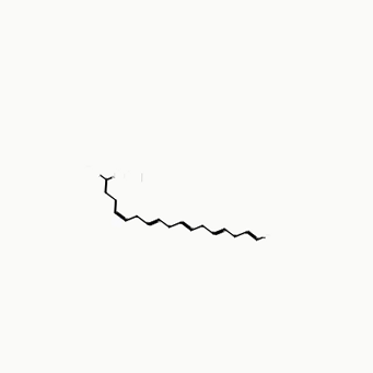 CCC=CCC=CCC=CCC=CC/C=C\CCC(CC)C(=O)O